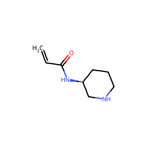 C=CC(=O)N[C@H]1CCCNC1